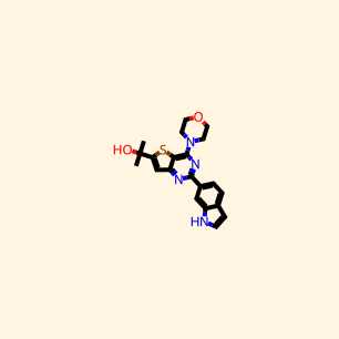 CC(C)(O)c1cc2nc(-c3ccc4cc[nH]c4c3)nc(N3CCOCC3)c2s1